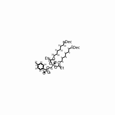 CCCCCCCCCCCCCCCCOC(CC)OP(=O)(COS(=O)(=O)c1ccc(C)cc1)OC(CC)OCCCCCCCCCCCCCCCC